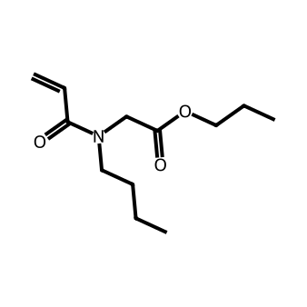 C=CC(=O)N(CCCC)CC(=O)OCCC